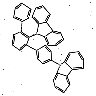 c1ccc(-c2cccc(-c3ccc(-n4c5ccccc5c5ccccc54)cc3)c2-n2c3ccccc3c3ccccc32)cc1